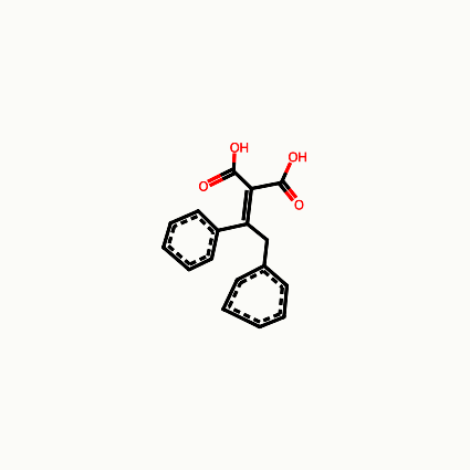 O=C(O)C(C(=O)O)=C(Cc1ccccc1)c1ccccc1